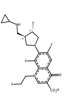 O=C(O)c1cn(CCF)c2c(F)c(N3C[C@@H](CNC4CC4)[C@H](F)C3)c(F)cc2c1=O